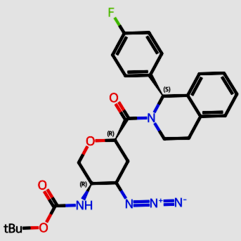 CC(C)(C)OC(=O)N[C@H]1CO[C@@H](C(=O)N2CCc3ccccc3[C@@H]2c2ccc(F)cc2)CC1N=[N+]=[N-]